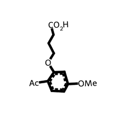 COc1ccc(C(C)=O)c(OCCCC(=O)O)c1